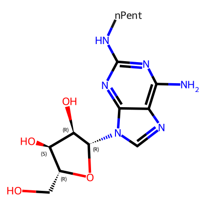 CCCCCNc1nc(N)c2ncn([C@@H]3O[C@H](CO)[C@@H](O)[C@H]3O)c2n1